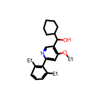 CCOc1cc(-c2c(CC)cccc2CC)ncc1C(O)C1CCCCC1